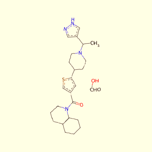 CC(c1cn[nH]c1)N1CCC(c2cc(C(=O)N3CCCC4CCCCC43)cs2)CC1.O=CO